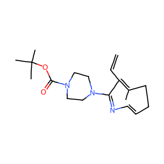 C=CC1=C(/C)CC/C=C/N=C\1N1CCN(C(=O)OC(C)(C)C)CC1